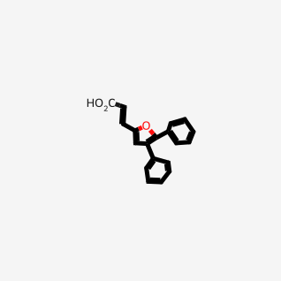 O=C(O)/C=C/c1cc(-c2ccccc2)c(-c2ccccc2)o1